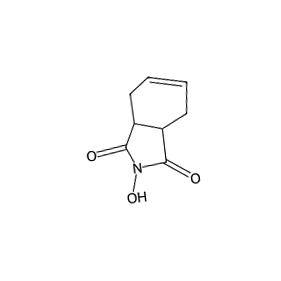 O=C1C2CC=CCC2C(=O)N1O